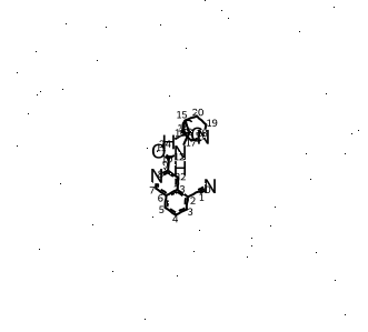 N#Cc1cccc2cnc(C(=O)N[C@@H]3CC4CCN(CC4)C3)cc12